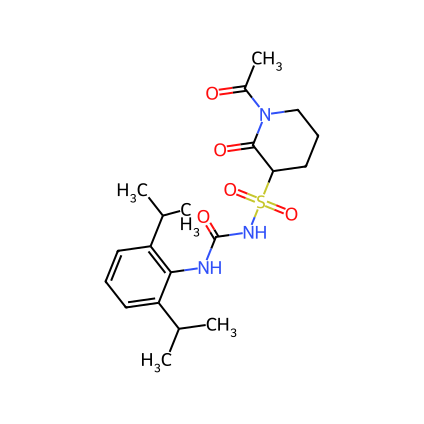 CC(=O)N1CCCC(S(=O)(=O)NC(=O)Nc2c(C(C)C)cccc2C(C)C)C1=O